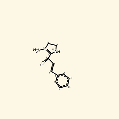 NS1=C(C(=O)C=Cc2ccccc2)NCC1